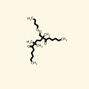 CCCCCC(=O)C(C)(C)CCC(C)(COOCCCC)C(=O)CCCCC